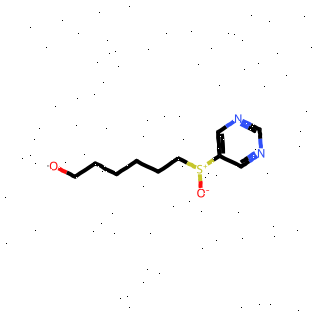 [O]CCCCCC[S+]([O-])c1cncnc1